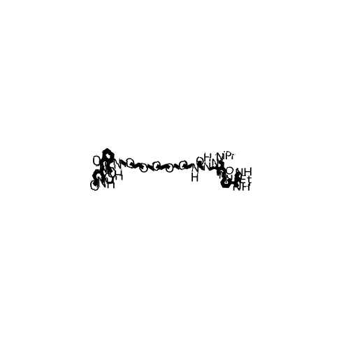 CCN(C=N)C(=N)c1cccc(N2Cc3c(cc(N(C)C(C)C)nc3CNCC(=O)NCCOCCOCCOCCOCCOCCNc3cccc4c3C(=O)N(C3CCC(=O)NC3=O)C4=O)C2=O)n1